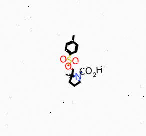 Cc1ccc(S(=O)(=O)OC[C@@]2(C)CCCN2C(=O)O)cc1